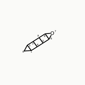 C1C2C1C1C2C2C3OC3C12